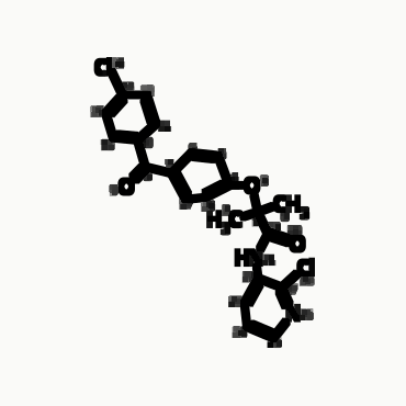 CC(C)(Oc1ccc(C(=O)c2ccc(Cl)cc2)cc1)C(=O)Nc1cccnc1Cl